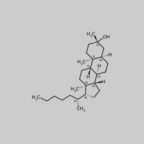 CCCCC[C@@H](C)[C@H]1CC[C@H]2[C@@H]3CC[C@@H]4C[C@@](C)(O)CC[C@]4(C)[C@H]3CC[C@]12C